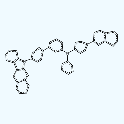 c1ccc(N(c2ccc(-c3ccc4ccccc4c3)cc2)c2cccc(-c3ccc(-n4c5ccccc5c5cc6ccccc6cc54)cc3)c2)cc1